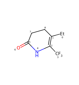 CCC1=C(C(F)(F)F)NC(=O)CC1